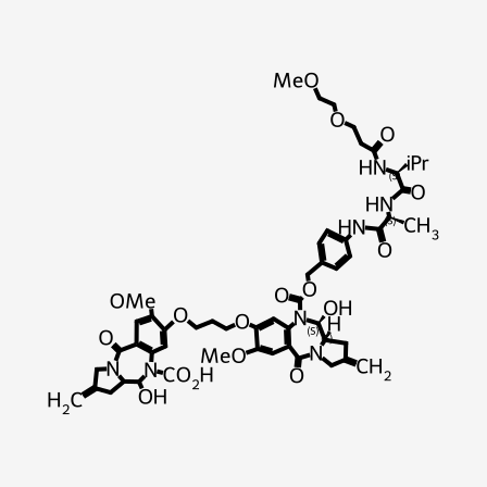 C=C1CC2C(O)N(C(=O)O)c3cc(OCCCOc4cc5c(cc4OC)C(=O)N4CC(=C)C[C@H]4[C@H](O)N5C(=O)OCc4ccc(NC(=O)[C@H](C)NC(=O)[C@@H](NC(=O)CCOCCOC)C(C)C)cc4)c(OC)cc3C(=O)N2C1